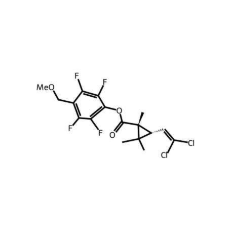 COCc1c(F)c(F)c(OC(=O)[C@]2(C)[C@H](C=C(Cl)Cl)C2(C)C)c(F)c1F